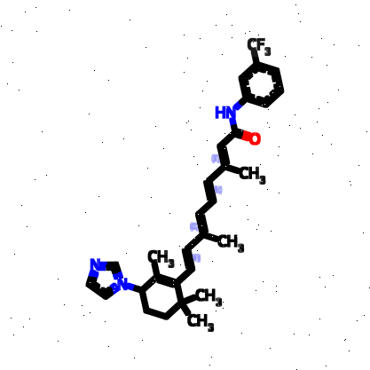 CC1=C(/C=C/C(C)=C/C=C/C(C)=C/C(=O)Nc2cccc(C(F)(F)F)c2)C(C)(C)CCC1n1ccnc1